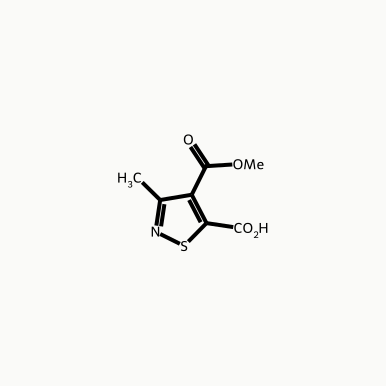 COC(=O)c1c(C)nsc1C(=O)O